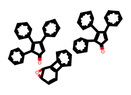 C1=CC2OC2C2=C1c1ccccc12.O=C1C=C(c2ccccc2)C(c2ccccc2)=C1c1ccccc1.O=C1C=C(c2ccccc2)C(c2ccccc2)=C1c1ccccc1